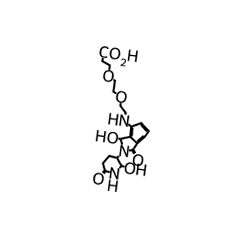 O=C(O)CCOCCOCCNc1cccc2c1C(O)N(C1CCC(=O)NC1O)C2=O